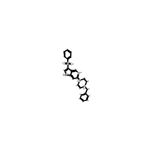 O=S(=O)(c1ccccc1)c1c[nH]c2cc(N3CCN(Cc4ccccc4)CC3)ncc12